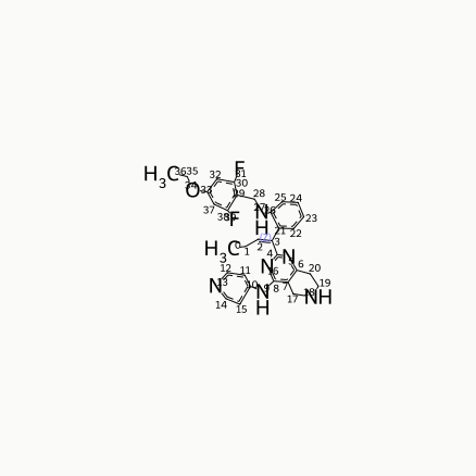 CC/C=C(\c1nc2c(c(Nc3ccncc3)n1)CNCC2)c1ccccc1NCc1c(F)cc(OCC)cc1F